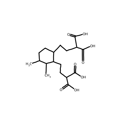 CC1CCC(CCC(C(=O)O)C(=O)O)C(CCC(C(=O)O)C(=O)O)C1C